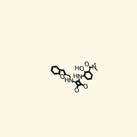 CN(C)C(=O)c1cccc(Nc2c(NCc3cc4ccccc4o3)c(=O)c2=O)c1O